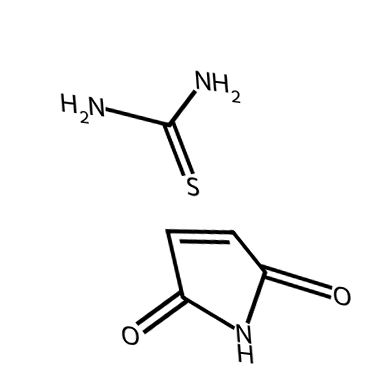 NC(N)=S.O=C1C=CC(=O)N1